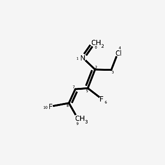 C=N/C(CCl)=C(F)\C=C(/C)F